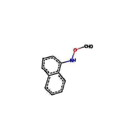 O=CONc1cccc2ccccc12